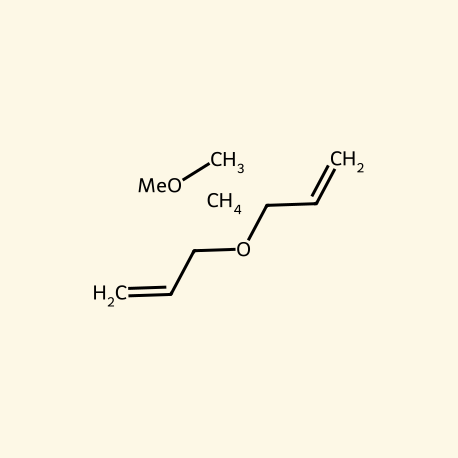 C.C=CCOCC=C.COC